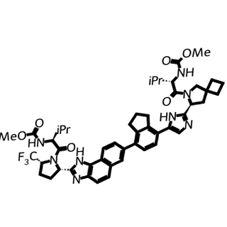 COC(=O)N[C@H](C(=O)N1CC2(CCC2)C[C@H]1c1ncc(-c2ccc(-c3ccc4c(ccc5nc([C@@H]6CC[C@H](C(F)(F)F)N6C(=O)[C@@H](NC(=O)OC)C(C)C)[nH]c54)c3)c3c2CCC3)[nH]1)C(C)C